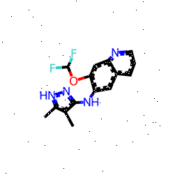 Cc1[nH]nc(Nc2cc3cccnc3cc2OC(F)F)c1C